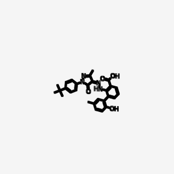 CC1=NN(c2ccc(C(C)(C)C)cc2)C(=O)C1=NNc1c(C(=O)O)cccc1-c1cc(C)ccc1O